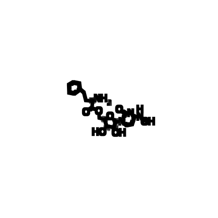 N[C@H](CCc1ccccc1)C(=O)OC[C@H]1O[C@@H](n2ccc(NO)nc2=O)[C@H](O)[C@@H]1O